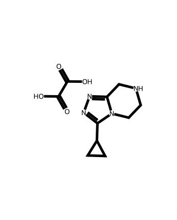 C1Cn2c(nnc2C2CC2)CN1.O=C(O)C(=O)O